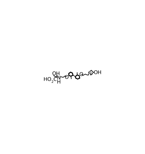 Cc1c(OCCCNC(C)(CO)C(=O)O)cccc1-c1cccc(OCCCN2CCC(O)C2)c1C